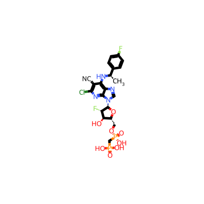 C[C@H](Nc1c(C#N)c(Cl)nc2c1ncn2[C@@H]1O[C@H](COP(=O)(O)CP(=O)(O)O)[C@@H](O)[C@@H]1F)c1ccc(F)cc1